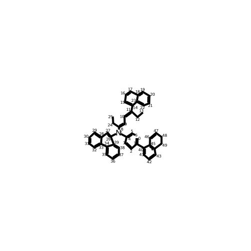 C=C(/C=C\C(=C/C)N(/C(=C/C=C(\CC)c1cccc2ccccc12)CC)c1cc2ccccc2c2ccccc12)c1cccc2c1C=CCC2